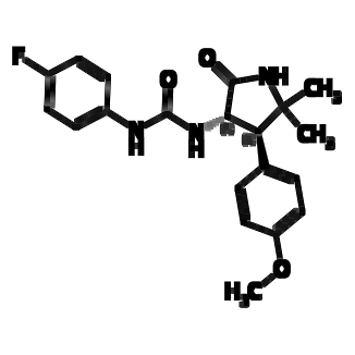 COc1ccc([C@H]2[C@H](NC(=O)Nc3ccc(F)cc3)C(=O)NC2(C)C)cc1